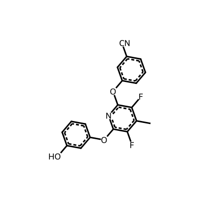 Cc1c(F)c(Oc2cccc(O)c2)nc(Oc2cccc(C#N)c2)c1F